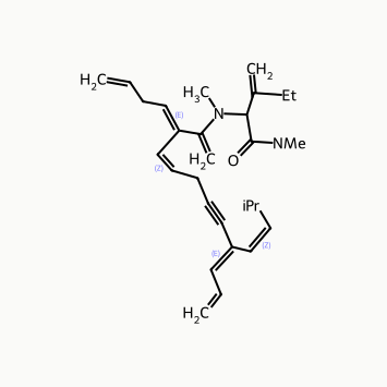 C=C/C=C(C#CC/C=C\C(=C/CC=C)C(=C)N(C)C(C(=C)CC)C(=O)NC)\C=C/C(C)C